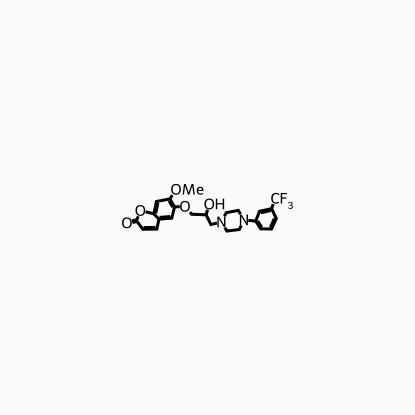 COc1cc2oc(=O)ccc2cc1OCC(O)CN1CCN(c2cccc(C(F)(F)F)c2)CC1